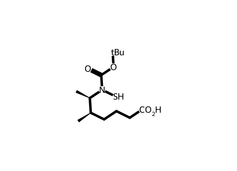 C[C@H](CCCC(=O)O)[C@@H](C)N(S)C(=O)OC(C)(C)C